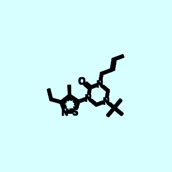 CC=CCN1CN(C(C)(C)C)CN(c2snc(CC)c2C)C1=O